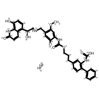 COc1cc(NC(=O)OCCCc2ccc(-c3ccccc3)c(NC(=O)O)c2)c(Cl)cc1CNC[C@@H](O)c1ccc(O)c2[nH]c(=O)ccc12.F.F